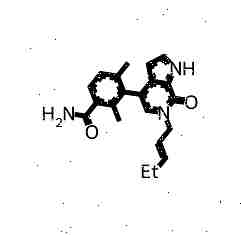 CC/C=C/Cn1cc(-c2c(C)ccc(C(N)=O)c2C)c2cc[nH]c2c1=O